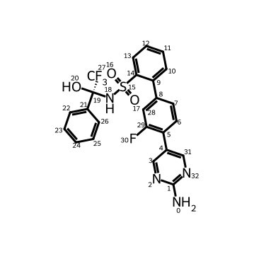 Nc1ncc(-c2ccc(-c3ccccc3S(=O)(=O)N[C@](O)(c3ccccc3)C(F)(F)F)cc2F)cn1